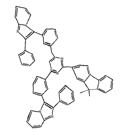 CC1(C)c2ccccc2-c2ccc(-c3nc(-c4cccc(-c5c(-c6ccccc6)nc6ccccn56)c4)cc(-c4cccc(-c5c(-c6ccccc6)nc6ccccn56)c4)n3)cc21